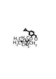 CC(C)(C)OC(=O)C(C)(C)Oc1cc(C2CC2)ccc1C=O